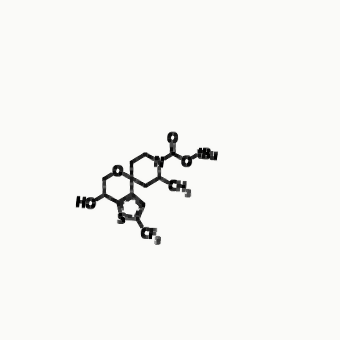 CC1CC2(CCN1C(=O)OC(C)(C)C)OCC(O)c1sc(C(F)(F)F)cc12